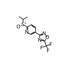 CC(C)[S+]([O-])c1ccc(-c2noc(C(F)(F)F)n2)cn1